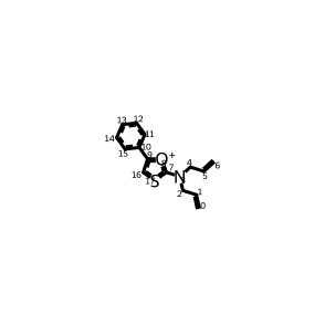 C=CCN(CC=C)c1[o+]c(-c2ccccc2)cs1